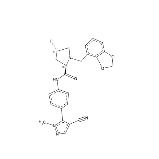 Cn1ncc(C#N)c1-c1ccc(NC(=O)[C@H]2C[C@H](F)CN2Cc2cccc3c2OCO3)cc1